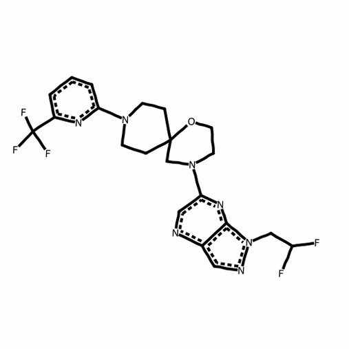 FC(F)Cn1ncc2ncc(N3CCOC4(CCN(c5cccc(C(F)(F)F)n5)CC4)C3)nc21